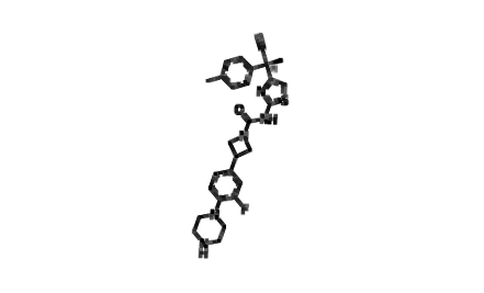 C#C[C@@](C)(c1ccc(C)cc1)c1csc(NC(=O)N2CC(c3ccc(N4CCNCC4)c(F)c3)C2)n1